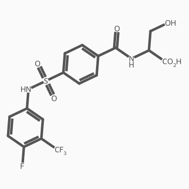 O=C(NC(CO)C(=O)O)c1ccc(S(=O)(=O)Nc2ccc(F)c(C(F)(F)F)c2)cc1